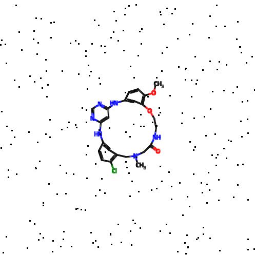 COc1ccc2cc1OCCNC(=O)CN(C)Cc1cc(ccc1Cl)Nc1cc(ncn1)N2